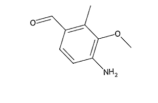 COc1c(N)ccc(C=O)c1C